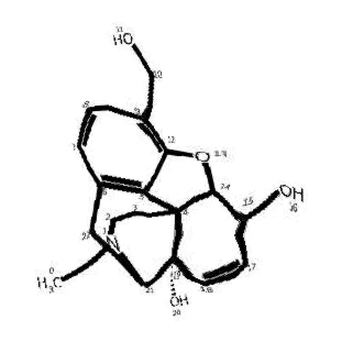 CN1CCC23c4c5ccc(CO)c4OC2C(O)C=C[C@@]3(O)C1C5